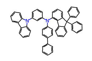 c1ccc(-c2ccc(N(c3cccc(-n4c5ccccc5c5ccccc54)c3)c3cccc4c3-c3ccccc3C4(c3ccccc3)c3ccccc3)cc2)cc1